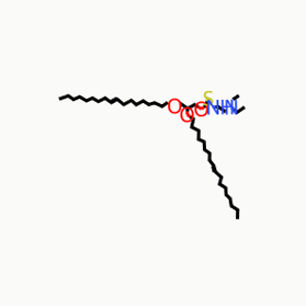 CCCCCCCCC=CCCCCCCCCOCC(COC(=S)NCCN(CC)CC)OCCCCCCCCC=CCCCCCCCC